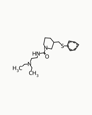 CCN(CC)CCNC(=O)N1CCCC(CSc2ccccc2)C1